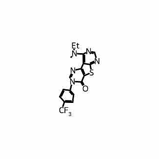 CCN(C)c1ncnc2sc3c(=O)n(-c4ccc(C(F)(F)F)cc4)cnc3c12